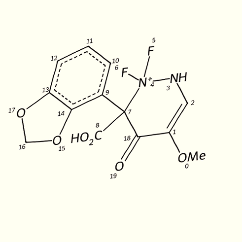 COC1=CN[N+](F)(F)C(C(=O)O)(c2cccc3c2OCO3)C1=O